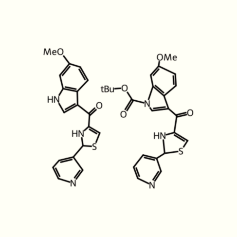 COc1ccc2c(C(=O)C3=CSC(c4cccnc4)N3)c[nH]c2c1.COc1ccc2c(C(=O)C3=CSC(c4cccnc4)N3)cn(C(=O)OC(C)(C)C)c2c1